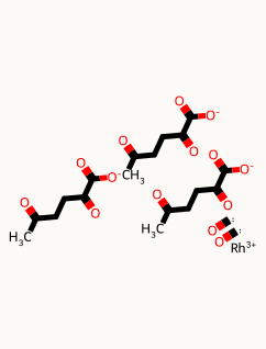 CC(=O)CCC(=O)C(=O)[O-].CC(=O)CCC(=O)C(=O)[O-].CC(=O)CCC(=O)C(=O)[O-].[C]=O.[C]=O.[Rh+3]